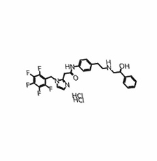 Cl.Cl.O=C(Cc1nccn1Cc1c(F)c(F)c(F)c(F)c1F)Nc1ccc(CCNCC(O)c2ccccc2)cc1